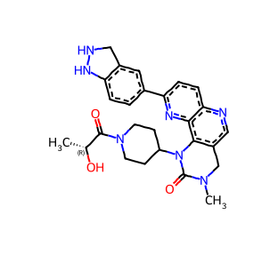 C[C@@H](O)C(=O)N1CCC(N2C(=O)N(C)Cc3cnc4ccc(-c5ccc6c(c5)CNN6)nc4c32)CC1